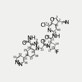 N#Cc1coc2c(Cl)nc(NC(=O)C3CC(F)CN3C(=O)Cn3nc(C(N)=O)c4cc(-c5ccnnc5)ccc43)cc12